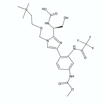 COC(=O)Nc1ccc(-c2cn(COCC[Si](C)(C)C)c([C@H](CO)NC(=O)O)n2)c(NC(=O)C(F)(F)F)c1